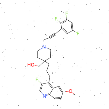 COc1ccc2ncc(F)c(CCCC3(CO)CCN(CC#Cc4cc(F)cc(F)c4F)CC3)c2c1